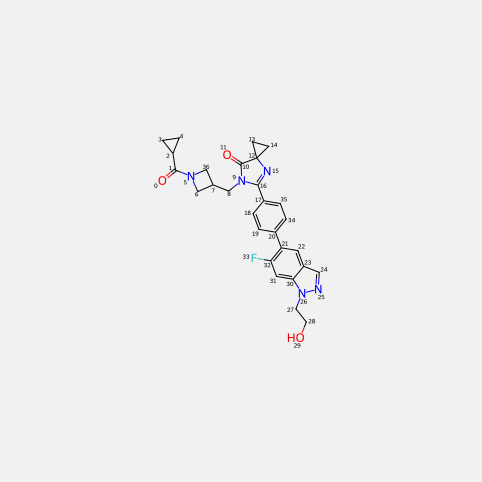 O=C(C1CC1)N1CC(CN2C(=O)C3(CC3)N=C2c2ccc(-c3cc4cnn(CCO)c4cc3F)cc2)C1